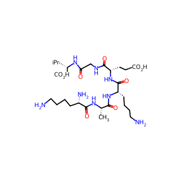 CC(C)[C@H](NC(=O)CNC(=O)[C@H](CCC(=O)O)NC(=O)[C@H](CCCCN)NC(=O)[C@H](C)NC(=O)[C@@H](N)CCCCN)C(=O)O